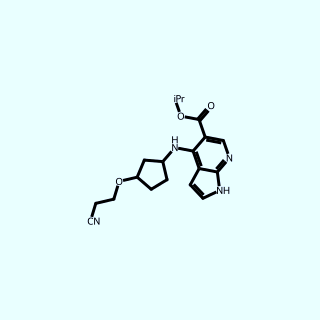 CC(C)OC(=O)c1cnc2[nH]ccc2c1NC1CCC(OCCC#N)C1